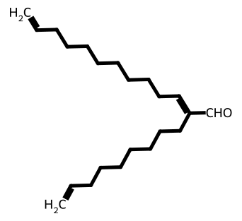 C=CCCCCCCCCC=C(C=O)CCCCCCCC=C